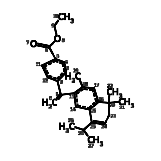 C=C(c1ccc(C(=O)OCC)cc1)c1cc2c(cc1C)C(C)(C)CC=C2C(C)C